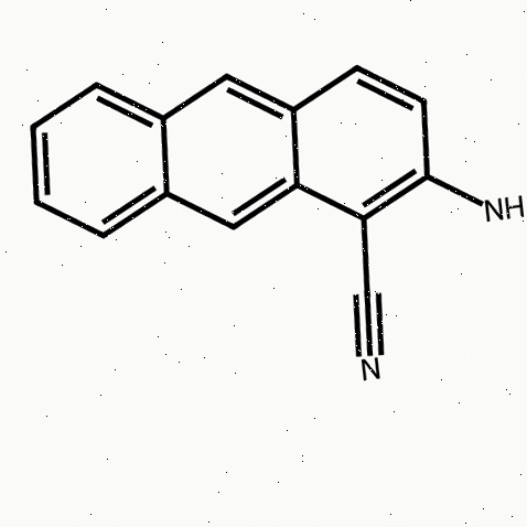 N#Cc1c(N)ccc2cc3ccccc3cc12